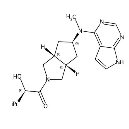 CC(C)[C@@H](O)C(=O)N1C[C@H]2C[C@H](N(C)c3ncnc4[nH]ccc34)C[C@H]2C1